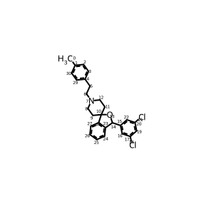 Cc1ccc(CCN2CCC3(CC2)OC(c2cc(Cl)cc(Cl)c2)c2ccccc23)cc1